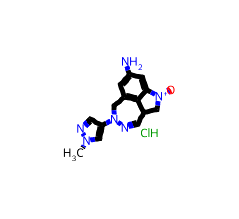 Cl.Cn1cc(N2Cc3cc(N)cc4c3C(C=N2)C[N+]4=O)cn1